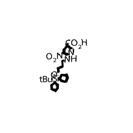 CC(C)(C)[Si](OCC=CCNc1ncc(C(=O)O)cc1[N+](=O)[O-])(c1ccccc1)c1ccccc1